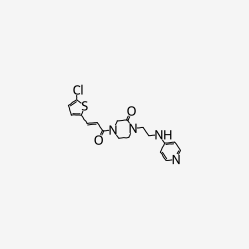 O=C(/C=C/c1ccc(Cl)s1)N1CCN(CCNc2ccncc2)C(=O)C1